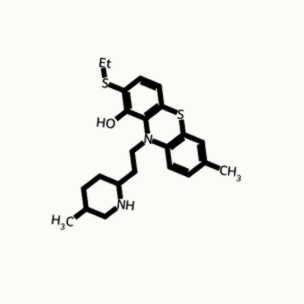 CCSc1ccc2c(c1O)N(CCC1CCC(C)CN1)c1ccc(C)cc1S2